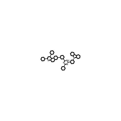 c1ccc(C2=NC(c3cccc(-n4c5ccccc5c5ccccc54)c3)NC(c3cccc(-c4ccc5c(ccc6nc(-c7ccccc7)cc(-c7ccccc7)c65)c4)c3)=N2)cc1